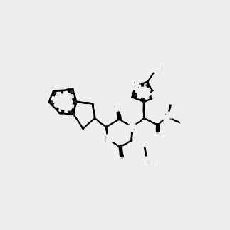 CC(C)C[C@@H]1C(=O)NC(C2Cc3ccccc3C2)C(=O)N1C(C(=O)N(C)C)c1cnc(C(F)(F)F)s1